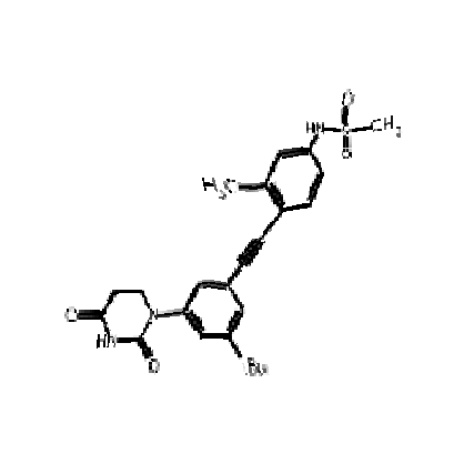 Cc1cc(NS(C)(=O)=O)ccc1C#Cc1cc(N2CCC(=O)NC2=O)cc(C(C)(C)C)c1